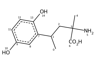 CC(CC(C)(N)C(=O)O)c1cc(O)ccc1O